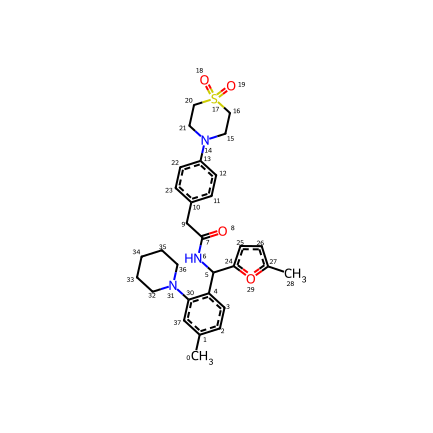 Cc1ccc(C(NC(=O)Cc2ccc(N3CCS(=O)(=O)CC3)cc2)c2ccc(C)o2)c(N2CCCCC2)c1